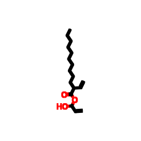 C=CC(O)OC(=O)C(C=C)CCCCCCCCCC